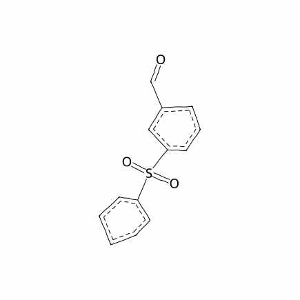 O=Cc1cccc(S(=O)(=O)c2ccccc2)c1